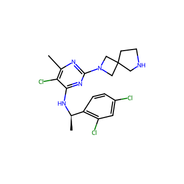 Cc1nc(N2CC3(CCNC3)C2)nc(N[C@H](C)c2ccc(Cl)cc2Cl)c1Cl